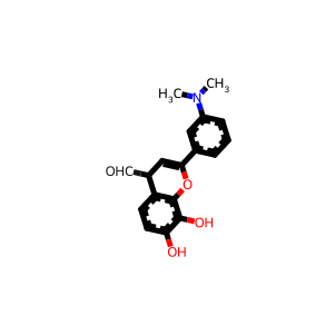 CN(C)c1cccc(C2=CC(C=O)c3ccc(O)c(O)c3O2)c1